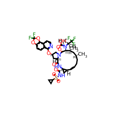 C[C@@H]1CCC=C[C@@H]2C[C@@]2(C(=O)NS(=O)(=O)C2CC2)NC(=O)[C@@H]2C[C@@H](Oc3nccc4c5c(ccc34)OC(F)(F)O5)CN2C(=O)[C@@H](N(C(=O)O)C(C)(C)C(F)(F)F)[C@H](C)C1